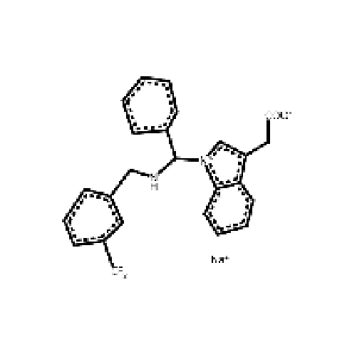 O=C([O-])Cc1cn(C(NCc2cccc(C(F)(F)F)c2)c2ccccc2)c2ccccc12.[Na+]